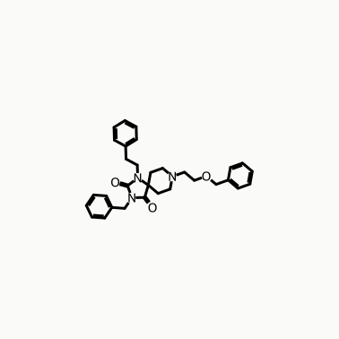 O=C1N(Cc2ccccc2)C(=O)C2(CCN(CCOCc3ccccc3)CC2)N1CCc1ccccc1